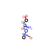 COCCCn1c(C2CCCN(C(=O)[C@@H]3CN(C(=O)c4cccc(C(=O)OC)c4)C[C@H]3N)C2)nc2ccccc21